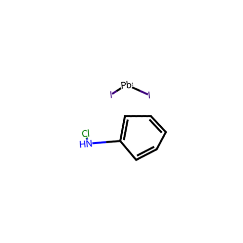 ClNc1ccccc1.[I][Pb][I]